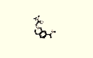 CSC(C)c1ccc2c(c1)CN(CC(=O)N(C)C)CC2